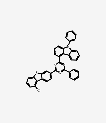 Clc1cccc2sc3cc(-c4nc(-c5ccccc5)nc(-c5cccc6c5c5ccccc5n6-c5ccccc5)n4)ccc3c12